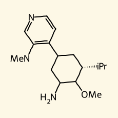 CNc1cnccc1C1CC(N)C(OC)[C@@H](C(C)C)C1